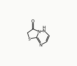 O=C1CSC2=NC=CNN12